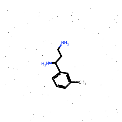 Cc1cccc(C(N)CCN)c1